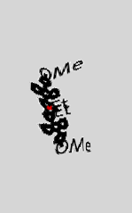 CCC1(CC)c2cc(-c3c4ccccc4c(-c4ccc(OC)cc4)c4ccccc34)ccc2-c2ccc(-c3c4ccccc4c(-c4ccc(OC)cc4)c4ccccc34)cc21